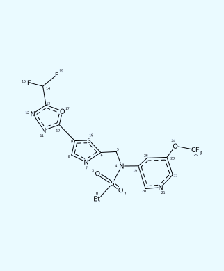 CCS(=O)(=O)N(Cc1ncc(-c2nnc(C(F)F)o2)s1)c1cncc(OC(F)(F)F)c1